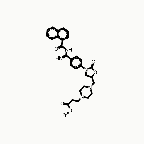 CC(C)OC(=O)CCN1CCN(CC2CN(c3ccc(C(=N)NC(=O)c4cccc5ccccc45)cc3)C(=O)O2)CC1